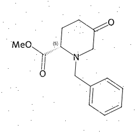 COC(=O)[C@@H]1CCC(=O)CN1Cc1ccccc1